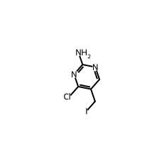 Nc1ncc(CI)c(Cl)n1